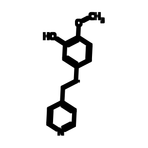 COc1ccc([CH]Cc2ccncc2)cc1O